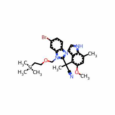 COc1cc(C)c2[nH]ccc2c1C(C)(C#N)c1nc2ccc(Br)cc2n1COCC[Si](C)(C)C